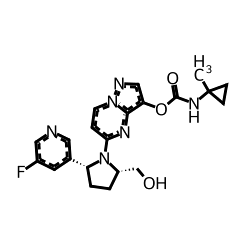 CC1(NC(=O)Oc2cnn3ccc(N4[C@H](CO)CC[C@@H]4c4cncc(F)c4)nc23)CC1